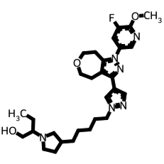 CCC(CO)N1CCC(CCCCCn2cc(-c3nn(-c4cnc(OC)c(F)c4)c4c3CCOCC4)cn2)C1